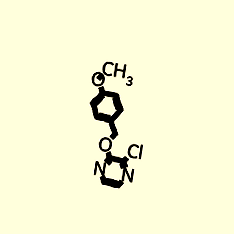 COc1ccc(COc2nccnc2Cl)cc1